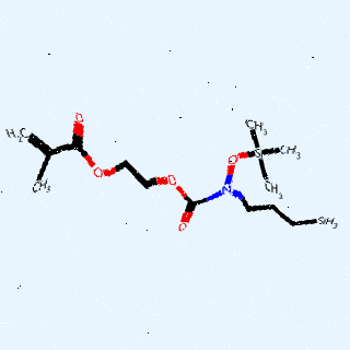 C=C(C)C(=O)OCCOC(=O)N(CCC[SiH3])O[Si](C)(C)C